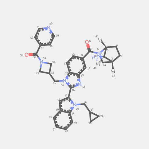 N[C@@H]1[C@@H]2CC[C@H]1N(C(=O)c1ccc3c(c1)nc(-c1cc4ccccc4n1CC1CC1)n3CC1CN(C(=O)c3ccncc3)C1)C2